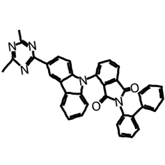 Cc1nc(C)nc(-c2ccc3c(c2)c2ccccc2n3-c2cccc3c2C(=O)N(c2ccccc2-c2ccccc2)C3=O)n1